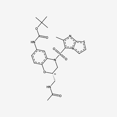 CC(=O)NC[C@H]1CN(S(=O)(=O)c2c(C)nc3sccn23)c2cc(NC(=O)OC(C)(C)C)ccc2O1